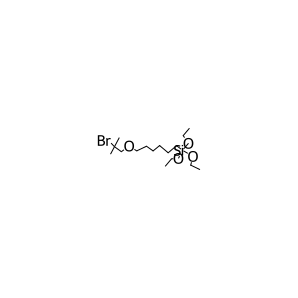 CCO[Si](CCCCCCOCC(C)(C)Br)(OCC)OCC